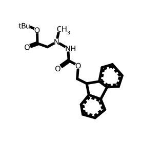 CN(CC(=O)OC(C)(C)C)NC(=O)OCC1c2ccccc2-c2ccccc21